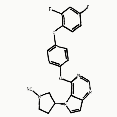 N#CN1CC[C@H](n2ccc3ncnc(Oc4ccc(Oc5ccc(F)cc5F)cc4)c32)C1